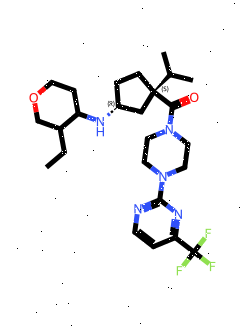 CCC1COCCC1N[C@@H]1CC[C@@](C(=O)N2CCN(c3nccc(C(F)(F)F)n3)CC2)(C(C)C)C1